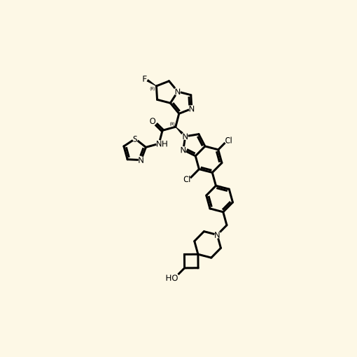 O=C(Nc1nccs1)[C@@H](c1ncn2c1C[C@@H](F)C2)n1cc2c(Cl)cc(-c3ccc(CN4CCC5(CC4)CC(O)C5)cc3)c(Cl)c2n1